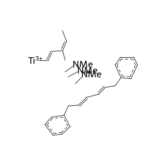 C(C=CCc1ccccc1)=CCc1ccccc1.CC=C(C)C=[CH][Ti+3].C[N-]C.C[N-]C.C[N-]C